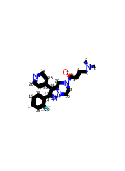 CN(C)C/C=C/C(=O)N1CCn2nc(-c3ccccc3F)c(-c3ccncc3)c2C1